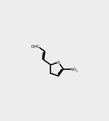 O=C/C=C/C1CC=C([N+](=O)[O-])O1